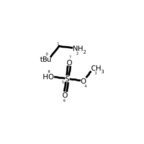 CC(C)(C)CN.COS(=O)(=O)O